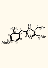 COC(=O)[C@H](CC(C)C)NC(=O)Cc1ccc(OC)cc1C